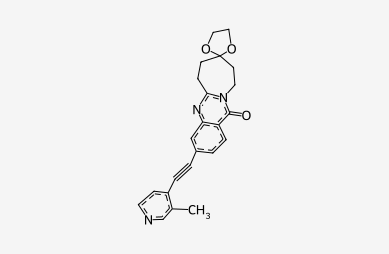 Cc1cnccc1C#Cc1ccc2c(=O)n3c(nc2c1)CCC1(CC3)OCCO1